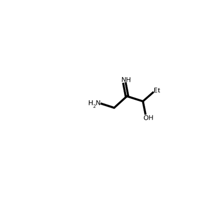 CCC(O)C(=N)CN